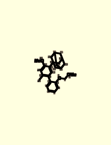 COCOc1cc[c]cc1-c1cc(C23CC4CC(CC(C4)C2)C3)c(OC)cc1C